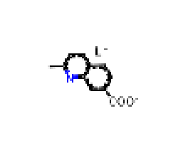 Cc1ccc2ccc(C(=O)[O-])cc2n1.[Li+]